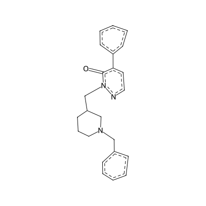 O=c1c(-c2ccccc2)ccnn1CC1CCCN(Cc2ccccc2)C1